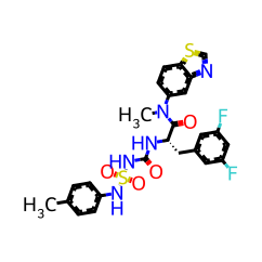 Cc1ccc(NS(=O)(=O)NC(=O)N[C@@H](Cc2cc(F)cc(F)c2)C(=O)N(C)c2ccc3scnc3c2)cc1